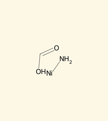 O=CO.[NH2][Ni]